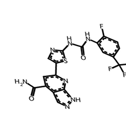 NC(=O)c1cc(-c2cnc(NC(=O)Nc3cc(C(F)(F)F)ccc3F)s2)nc2[nH]ncc12